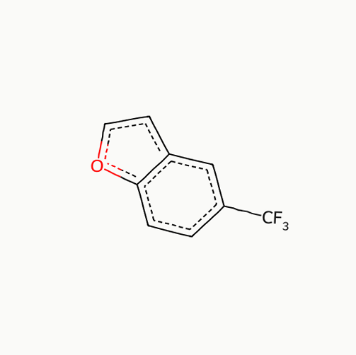 FC(F)(F)c1ccc2occc2c1